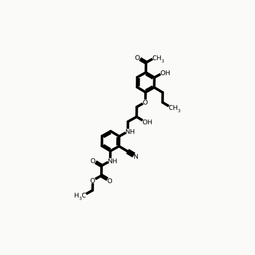 CCCc1c(OCC(O)CNc2cccc(NC(=O)C(=O)OCC)c2C#N)ccc(C(C)=O)c1O